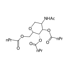 CCCC(=O)OCC1OCC(NC(C)=O)C(OC(=O)CCC)[C@@H]1OC(=O)CCC